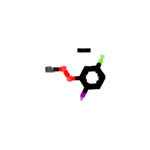 CC.CC(C)(C)OOc1cc(F)ccc1I